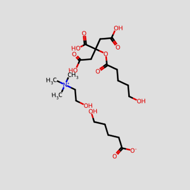 C[N+](C)(C)CCO.O=C(O)CC(CC(=O)O)(OC(=O)CCCCO)C(=O)O.O=C([O-])CCCCO